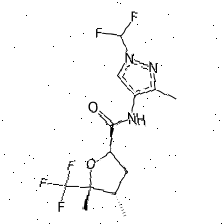 Cc1nn(C(F)F)cc1NC(=O)[C@H]1C[C@H](C)[C@](C)(C(F)(F)F)O1